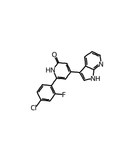 O=c1cc(-c2c[nH]c3ncccc23)cc(-c2ccc(Cl)cc2F)[nH]1